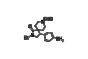 Bc1ccc(C2CN(CC)C(=O)C23CCN(C=O)CC3)cc1